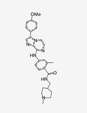 COc1ccc(-c2cnc3c(Nc4ccc(C(=O)NCC5CCN(C)CC5)c(C)c4)nccn23)cc1